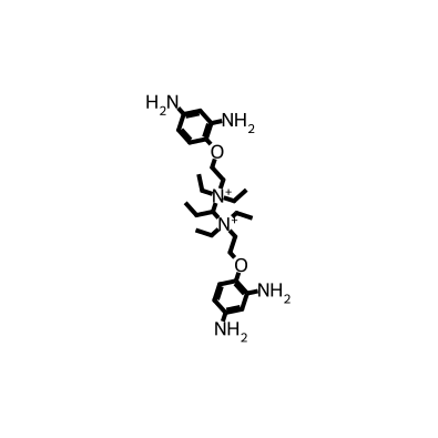 CCC([N+](CC)(CC)CCOc1ccc(N)cc1N)[N+](CC)(CC)CCOc1ccc(N)cc1N